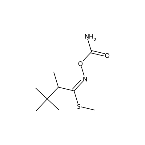 CSC(=NOC(N)=O)C(C)C(C)(C)C